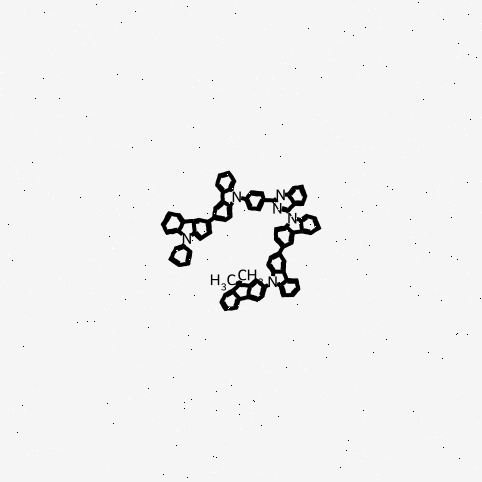 CC1(C)c2ccccc2-c2ccc(-n3c4ccccc4c4cc(-c5ccc6c(c5)c5ccccc5n6-c5nc(-c6ccc(-n7c8ccccc8c8cc(-c9ccc%10c(c9)c9ccccc9n%10-c9ccccc9)ccc87)cc6)nc6ccccc56)ccc43)cc21